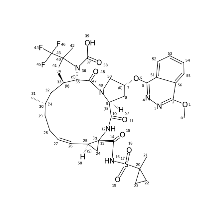 COc1nnc(O[C@@H]2C[C@H]3C(=O)N[C@]4(C(=O)NS(=O)(=O)C5(C)CC5)C[C@H]4C=CCC[C@H](C)C[C@@H](C)[C@H](N(C(=O)O)C(C)(C)C(F)(F)F)C(=O)N3C2)c2ccccc12